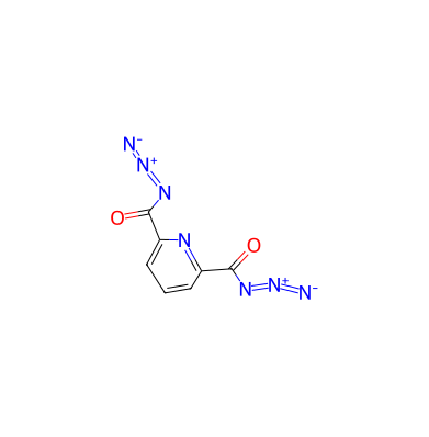 [N-]=[N+]=NC(=O)c1cccc(C(=O)N=[N+]=[N-])n1